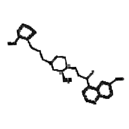 COc1ccc2nccc(C(F)CC[C@@H]3CCN(CCCc4ccccc4OC)C[C@@H]3C(=O)O)c2c1